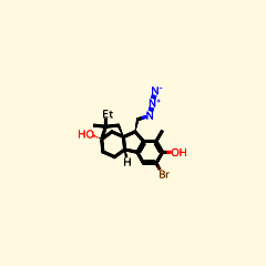 CCC1(C)C[C@]23C[C@@]1(O)CC[C@H]2c1cc(Br)c(O)c(C)c1[C@@H]3CN=[N+]=[N-]